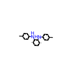 Cc1ccc(Nc2[c]cc[c]c2Nc2ccc(C)cc2)cc1